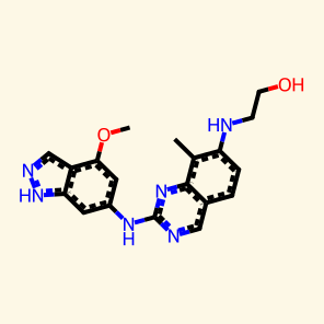 COc1cc(Nc2ncc3ccc(NCCO)c(C)c3n2)cc2[nH]ncc12